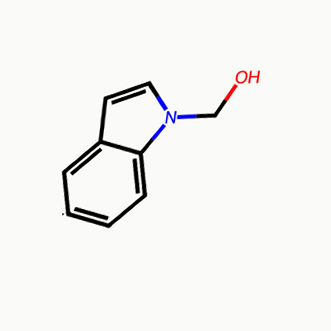 OCn1ccc2c[c]ccc21